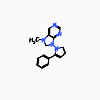 CN1CN(N2CCC=C2c2ccccc2)c2ncncc21